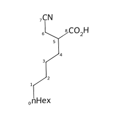 CCCCCCCCCCC(CC#N)C(=O)O